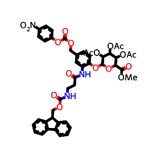 COC(=O)C1OC(Oc2ccc(COC(=O)Oc3ccc([N+](=O)[O-])cc3)cc2NC(=O)CCNC(=O)OCC2c3ccccc3-c3ccccc32)C(OC(C)=O)C(OC(C)=O)C1OC(C)=O